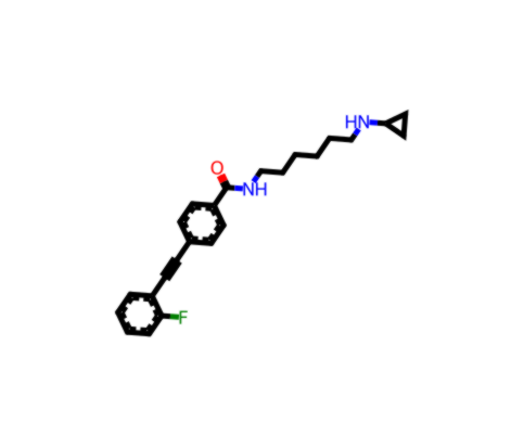 O=C(NCCCCCCNC1CC1)c1ccc(C#Cc2ccccc2F)cc1